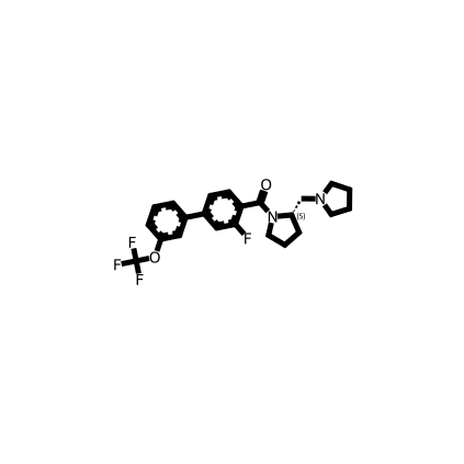 O=C(c1ccc(-c2cccc(OC(F)(F)F)c2)cc1F)N1CCC[C@H]1CN1CCCC1